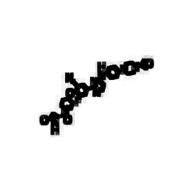 N#Cc1cc(-c2nccc(Nc3ccc(N4CCN(C5COC5)CC4)cc3)n2)ccc1O[C@H]1CCN(C(=O)[C@@H]2CC(=O)N2)C[C@H]1F